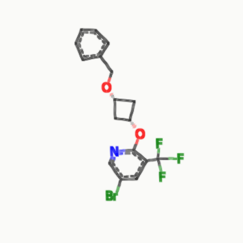 FC(F)(F)c1cc(Br)cnc1O[C@H]1C[C@@H](OCc2ccccc2)C1